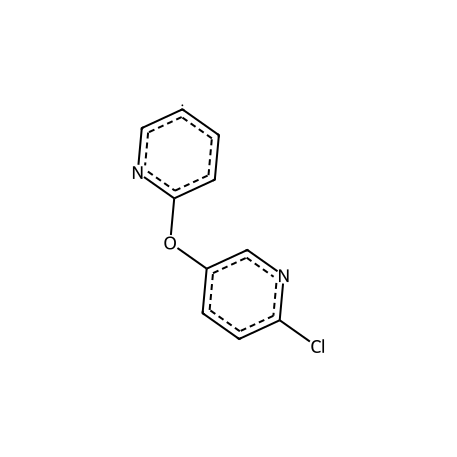 Clc1ccc(Oc2cc[c]cn2)cn1